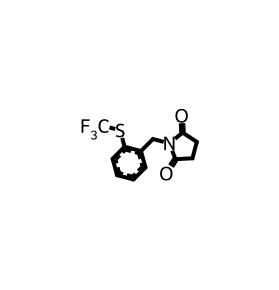 O=C1CCC(=O)N1Cc1ccccc1SC(F)(F)F